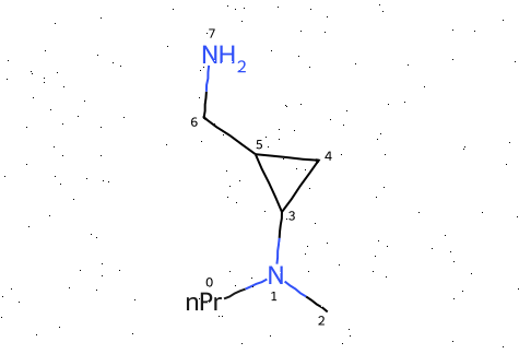 CCCN(C)C1CC1CN